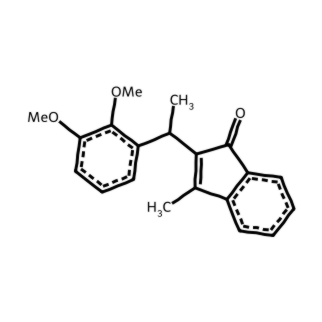 COc1cccc(C(C)C2=C(C)c3ccccc3C2=O)c1OC